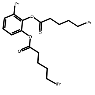 CC(C)CCCCC(=O)Oc1cccc(C(C)C)c1OC(=O)CCCCC(C)C